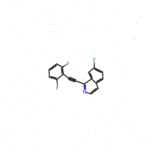 Fc1ccc2ccnc(C#Cc3c(F)cccc3F)c2c1